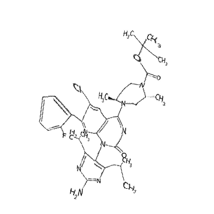 CC(C)c1nc(N)nc(C(C)C)c1-n1c(=O)nc(N2C[C@@H](C)N(C(=O)OC(C)(C)C)C[C@@H]2C)c2cc(Cl)c(-c3ccccc3F)nc21